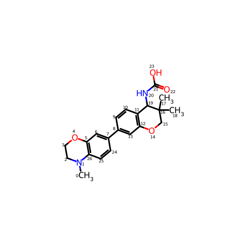 CN1CCOc2cc(-c3ccc4c(c3)OCC(C)(C)C4NC(=O)O)ccc21